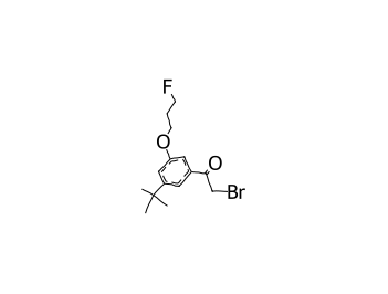 CC(C)(C)c1cc(OCCCF)cc(C(=O)CBr)c1